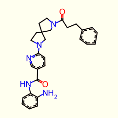 Nc1ccccc1NC(=O)c1ccc(N2CCC3(CCN(C(=O)CCc4ccccc4)C3)C2)nc1